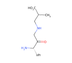 CCC[C@H](N)C(=O)CNCC(C)C(=O)O